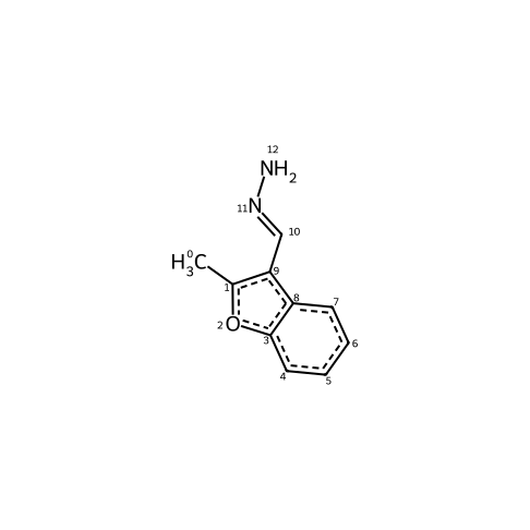 Cc1oc2ccccc2c1C=NN